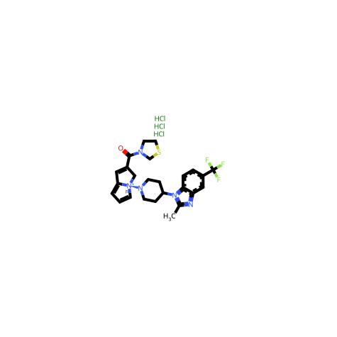 Cc1nc2cc(C(F)(F)F)ccc2n1C1CCN([N@@+]23C=CC=C2C=C(C(=O)N2CCSC2)C3)CC1.Cl.Cl.Cl